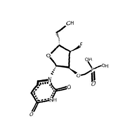 O=c1ccn([C@@H]2O[C@H](CO)[C@@H](F)[C@H]2OP(=O)(O)O)c(=O)[nH]1